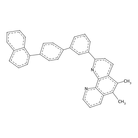 Cc1c(C)c2ccc(-c3cccc(-c4ccc(-c5cccc6ccccc56)cc4)c3)nc2c2ncccc12